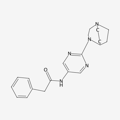 O=C(Cc1ccccc1)Nc1cnc(N2CCN3CCC2CC3)nc1